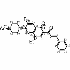 CCn1cc(C(=O)C=Cc2ccccc2)c(=O)c2cc(F)c(N3CCN(C(C)=O)CC3)nc21